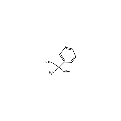 CCCCCCC(N)(CCCCCC)c1c[c]ccc1